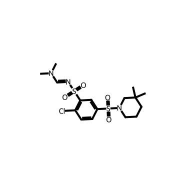 CN(C)C=NS(=O)(=O)c1cc(S(=O)(=O)N2CCCC(C)(C)C2)ccc1Cl